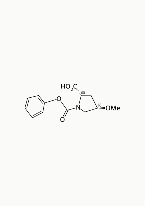 CO[C@@H]1C[C@@H](C(=O)O)N(C(=O)Oc2ccccc2)C1